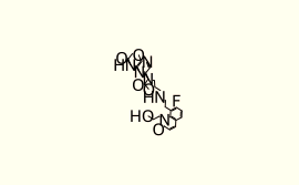 O=C1COc2ncc(N3CC(CNCCc4c(F)ccc5ccc(=O)n(CCO)c45)OC3=O)nc2N1